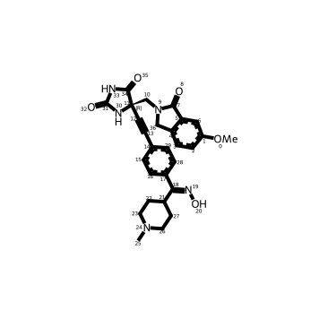 COc1ccc2c(c1)C(=O)N(C[C@@]1(C#Cc3ccc(C(=NO)C4CCN(C)CC4)cc3)NC(=O)NC1=O)C2